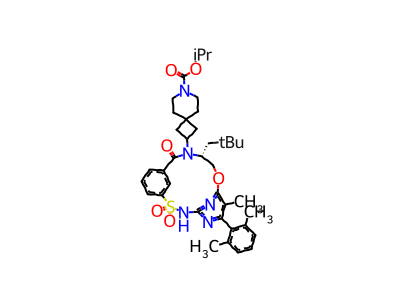 Cc1cccc(C)c1-c1nc2nc(c1C)OC[C@@H](CC(C)(C)C)N(C1CC3(CCN(C(=O)OC(C)C)CC3)C1)C(=O)c1cccc(c1)S(=O)(=O)N2